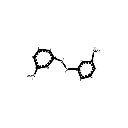 CSc1cccc(SSc2cccc(SC)c2)c1